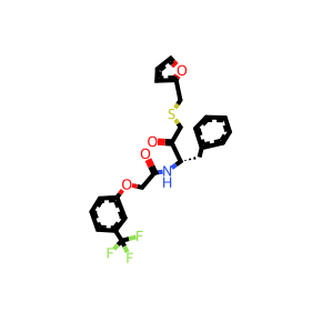 O=C(COc1cccc(C(F)(F)F)c1)N[C@@H](Cc1ccccc1)C(=O)CSCc1ccco1